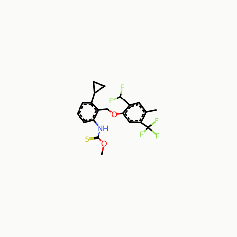 COC(=S)Nc1cccc(C2CC2)c1COc1cc(C(F)(F)F)c(C)cc1C(F)F